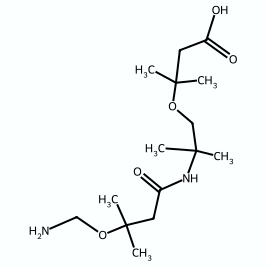 CC(C)(COC(C)(C)CC(=O)O)NC(=O)CC(C)(C)OCN